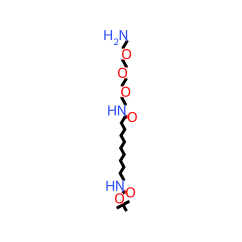 CC(C)(C)OC(=O)NCCCCCCCCCCC(=O)NCCOCCOCCOCCN